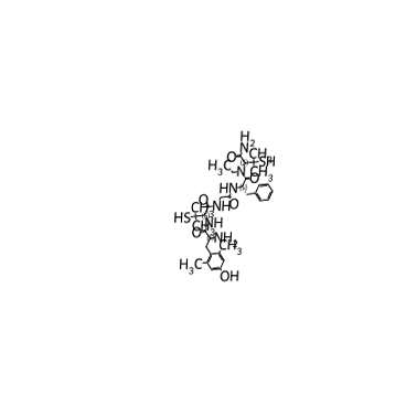 CCN(C(=O)[C@H](Cc1ccccc1)NC(=O)CNC(=O)[C@H](NC(=O)[C@@H](N)Cc1c(C)cc(O)cc1C)C(C)(C)S)[C@@H](C(N)=O)C(C)(C)S